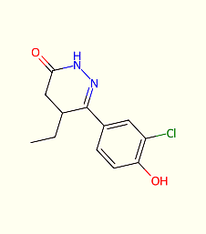 CCC1CC(=O)NN=C1c1ccc(O)c(Cl)c1